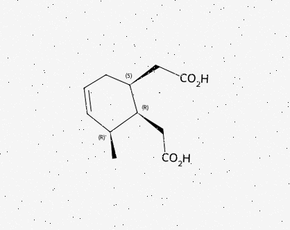 C[C@H]1C=CC[C@@H](CC(=O)O)[C@H]1CC(=O)O